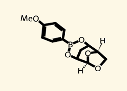 COc1ccc(B2OC3CC(O2)[C@H]2CO[C@@H]3O2)cc1